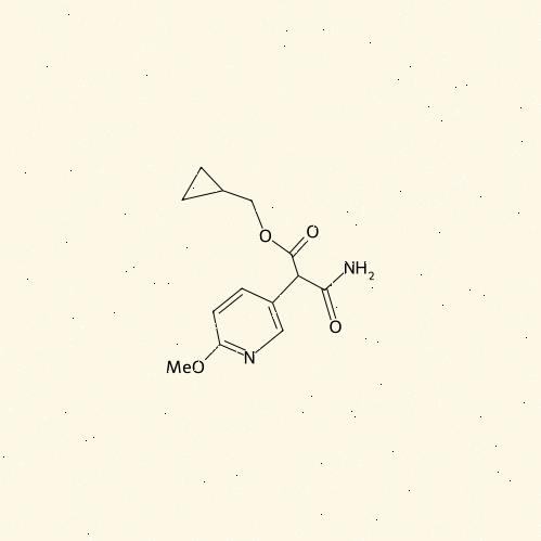 COc1ccc(C(C(N)=O)C(=O)OCC2CC2)cn1